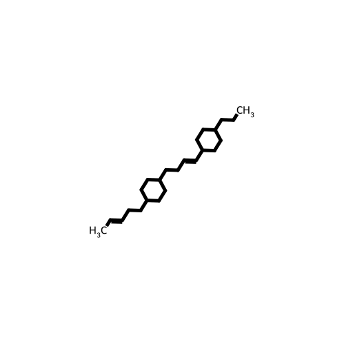 CC=CCCC1CCC(CCC=CC2CCC(CCC)CC2)CC1